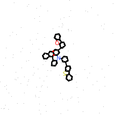 c1cc(-c2ccc3c(c2)sc2ccccc23)cc(N(c2cccc(-c3cccc4c3oc3ccccc34)c2)c2ccccc2-c2cccc3ccccc23)c1